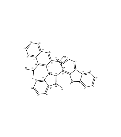 Cc1ccc2c(oc3ccccc32)c1-c1n(-c2c(C(C)C)cc3ccccc3c2C(C)C)c2ccccc2[n+]1C